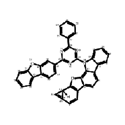 C1=Cc2c(oc3c2ccc2c4ccccc4n(-c4nc(-c5ccccc5)nc(-c5ccc6c(c5)oc5ccccc56)n4)c23)[C@H]2C=C12